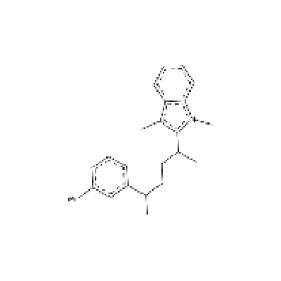 Cc1c(C(C)CCC(C)c2cccc(C(C)C)c2)n(C)c2ccccc12